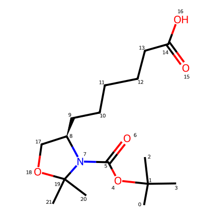 CC(C)(C)OC(=O)N1[C@H](CCCCCC(=O)O)COC1(C)C